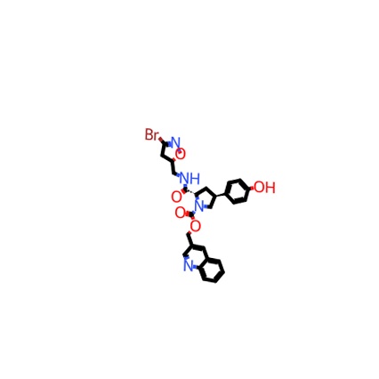 O=C(NCC1CC(Br)=NO1)[C@@H]1C[C@@H](c2ccc(O)cc2)CN1C(=O)OCc1cnc2ccccc2c1